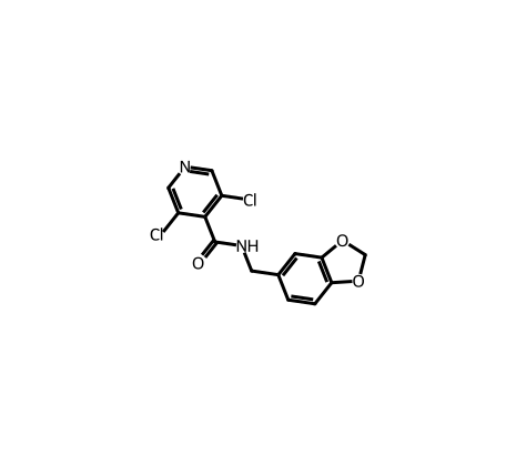 O=C(NCc1ccc2c(c1)OCO2)c1c(Cl)cncc1Cl